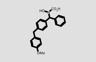 COc1ccc(Cc2ccc(C(c3ccccc3)N(O)C(=O)O)cc2)cc1